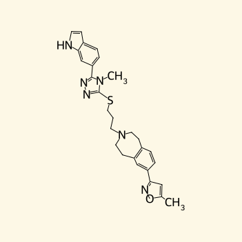 Cc1cc(-c2ccc3c(c2)CCN(CCCSc2nnc(-c4ccc5cc[nH]c5c4)n2C)CC3)no1